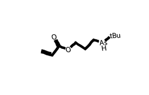 C=CC(=O)OCCC[AsH]C(C)(C)C